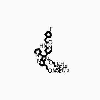 COCCc1ccnc2c(-c3ccccn3)c(-c3ccnc(NC(=O)Cc4ccc(F)cc4)c3)n(COCC[Si](C)(C)C)c12